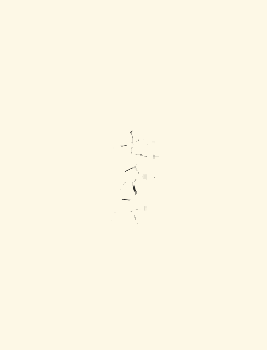 [C-]#[N+]c1cc2cc(C(C)(O)CS(=O)(=O)CC)[nH]c2cc1C(F)(F)F